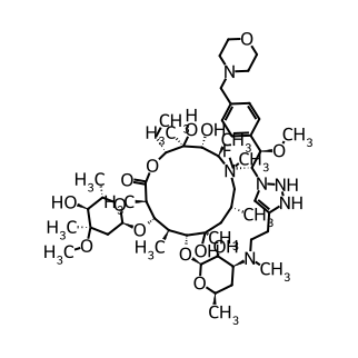 CC[C@H]1OC(=O)[C@H](C)[C@@H](O[C@H]2C[C@@](C)(OC)[C@@H](O)[C@H](C)O2)[C@H](C)[C@@H](O[C@@H]2O[C@H](C)C[C@H](N(C)CCC3=CN([C@H](CF)[C@H](OC)c4ccc(CN5CCOCC5)cc4)NN3)[C@H]2O)[C@](C)(O)C[C@@H](C)CN(C)[C@H](C)[C@@H](O)[C@]1(C)O